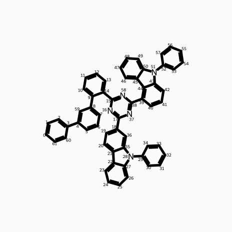 c1ccc(-c2cccc(-c3ccccc3-c3nc(-c4ccc5c6ccccc6n(-c6ccccc6)c5c4)nc(-c4cccc5c4c4ccccc4n5-c4ccccc4)n3)c2)cc1